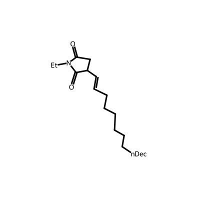 CCCCCCCCCCCCCCCCC=CC1CC(=O)N(CC)C1=O